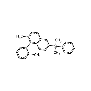 Cc1ccccc1-c1c2ccc([Si](C)(C)c3ccccc3)cc2cc[n+]1C